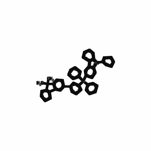 CC1(C)c2ccccc2-c2cc(-c3cccc([Si](c4ccccc4)(c4ccccc4)c4ccc5c(c4)c4ccccc4n5-c4ccccc4)c3)ccc21